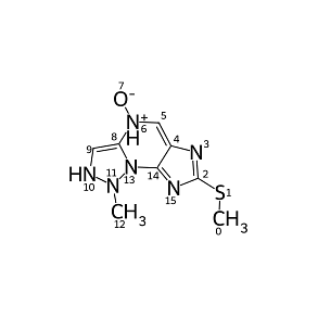 CSC1=NC2=C[NH+]([O-])C3=CNN(C)N3C2=N1